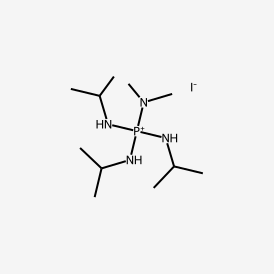 CC(C)N[P+](NC(C)C)(NC(C)C)N(C)C.[I-]